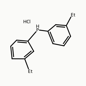 CCc1cccc(Pc2cccc(CC)c2)c1.Cl